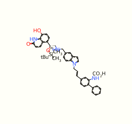 CC(C)(C)[Si](C)(C)O[C@@H](CNCc1ccc2c(ccn2CC=Cc2ccc(-c3ccccc3)c(NC(=O)O)c2)c1)c1ccc(O)c2[nH]c(=O)ccc12